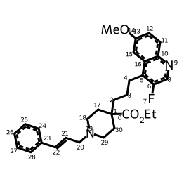 CCOC(=O)C1(CCCc2c(F)cnc3ccc(OC)cc23)CCN(CC=Cc2ccccc2)CC1